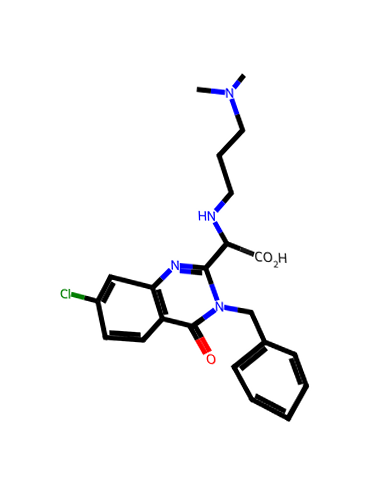 CN(C)CCCNC(C(=O)O)c1nc2cc(Cl)ccc2c(=O)n1Cc1ccccc1